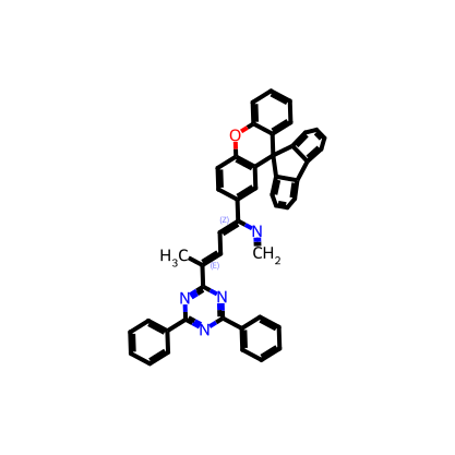 C=N/C(=C\C=C(/C)c1nc(-c2ccccc2)nc(-c2ccccc2)n1)c1ccc2c(c1)C1(c3ccccc3O2)c2ccccc2-c2ccccc21